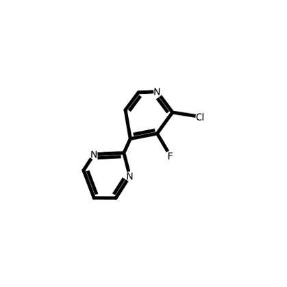 Fc1c(-c2ncccn2)ccnc1Cl